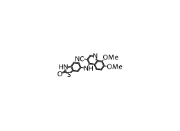 COc1ccc2c(Nc3ccc4[nH]c(=O)sc4c3)c(C#N)cnc2c1OC